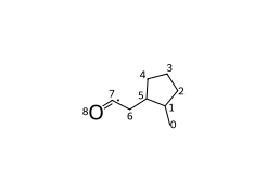 CC1CCCC1C[C]=O